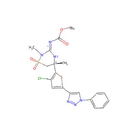 CN1/C(=N/C(=O)OC(C)(C)C)N[C@](C)(c2sc(-c3cn(-c4ccccc4)nn3)cc2Cl)CS1(=O)=O